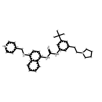 CC(C)(C)c1cc(CCN2CCCC2)cc(NC(=O)Nc2ccc(OCc3ccncc3)c3ccccc23)c1